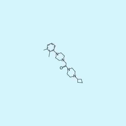 Cc1cccc(N2CCN(CC(=O)N3CCN(C4CCC4)CC3)CC2)c1C